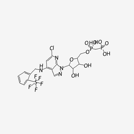 O=P(O)(O)CP(=O)(O)OCC1OC(n2ncc3c(NCc4ccccc4S(F)(F)(F)(F)F)cc(Cl)nc32)C(O)C1O